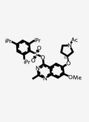 COc1cc2nc(C)nc(OS(=O)(=O)c3c(C(C)C)cc(C(C)C)cc3C(C)C)c2cc1O[C@H]1CCN(C(C)=O)C1